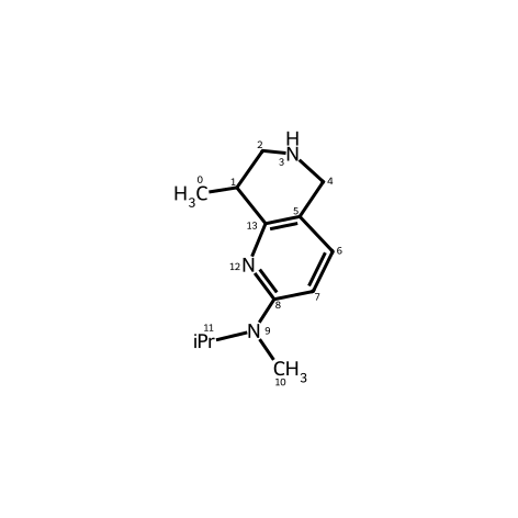 CC1CNCc2ccc(N(C)C(C)C)nc21